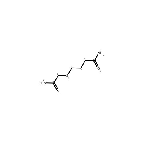 NC(=O)CCCSCC(N)=S